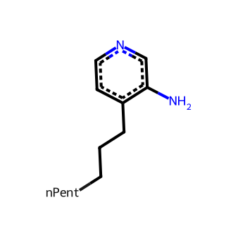 CCCCCCCCc1ccncc1N